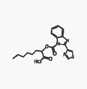 CCCCCCC(OC(=O)n1c(-c2cscn2)nc2ccccc21)C(=O)O